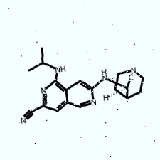 CC(C)Nc1nc(C#N)cc2cnc(N[C@H]3CN4CCC3CC4)cc12